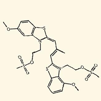 COc1ccc2c(c1)N(CCOS(C)(=O)=O)C(=CC(C)=Cc1sc3cccc(OC)c3[n+]1CCOS(C)(=O)=O)S2